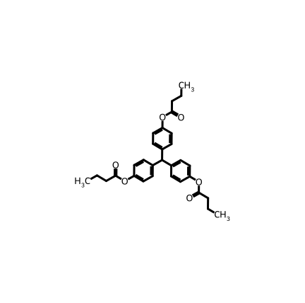 CCCC(=O)Oc1ccc(C(c2ccc(OC(=O)CCC)cc2)c2ccc(OC(=O)CCC)cc2)cc1